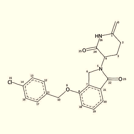 C=C1CCC(N2Cc3c(OCc4ccc(Cl)cc4)cccc3C2=O)C(=O)N1